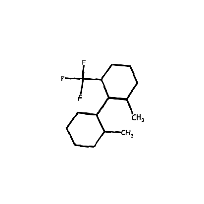 CC1CCCCC1C1C(C)CCCC1C(F)(F)F